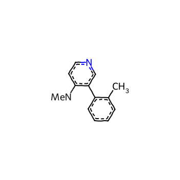 CNc1ccncc1-c1ccccc1C